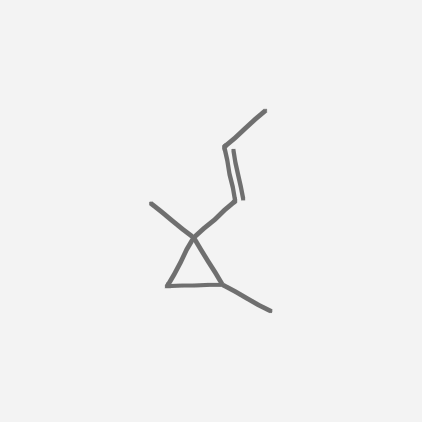 CC=CC1(C)CC1C